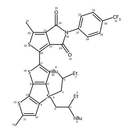 CCCCC(CC)C[Si]1(CC(CC)CCCC)c2cc(C)sc2-c2sc(-c3sc(C)c4c3C(=O)N(c3ccc(C(F)(F)F)cc3)C4=O)cc21